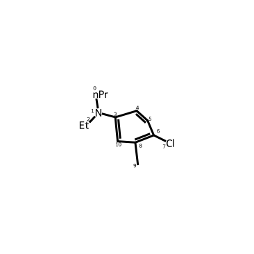 CCCN(CC)c1ccc(Cl)c(C)c1